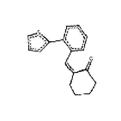 O=C1CCCCC1=Cc1ccccc1-c1cccs1